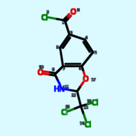 O=C(Cl)c1ccc2c(c1)C(=O)NC(C(Cl)(Cl)Cl)O2